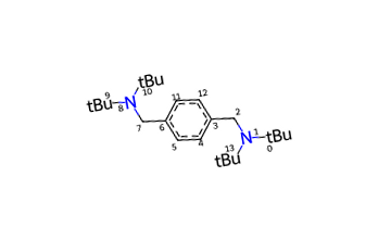 CC(C)(C)N(Cc1ccc(CN(C(C)(C)C)C(C)(C)C)cc1)C(C)(C)C